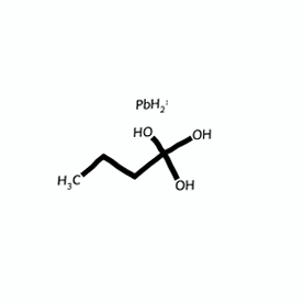 CCCC(O)(O)O.[PbH2]